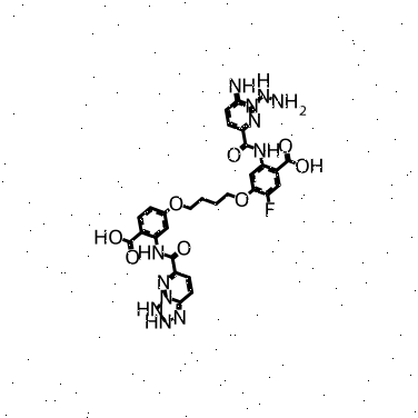 N=c1ccc(C(=O)Nc2cc(OCCCCOc3ccc(C(=O)O)c(NC(=O)C4=NN5NNN=C5C=C4)c3)c(F)cc2C(=O)O)nn1NN